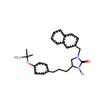 CCN1C(=O)N(Cc2ccc3ccccc3c2)CC1CCCc1ccc(OC(C)(C)C(=O)O)cc1